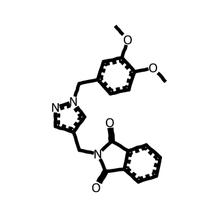 COc1ccc(Cn2cc(CN3C(=O)c4ccccc4C3=O)cn2)cc1OC